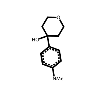 CNc1ccc(C2(O)CCOCC2)cc1